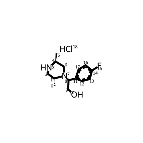 C[C@@H]1CN[C@@H](C)CN1C(CO)c1ccc(F)cc1.Cl